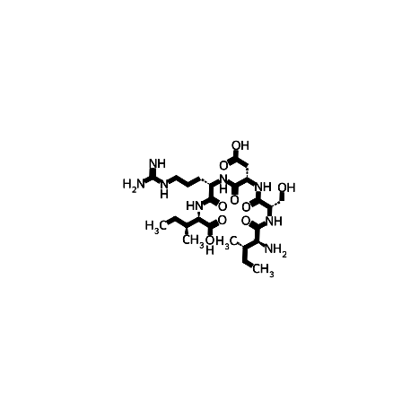 CC[C@H](C)[C@H](N)C(=O)N[C@@H](CO)C(=O)N[C@@H](CC(=O)O)C(=O)N[C@@H](CCCNC(=N)N)C(=O)N[C@H](C(=O)O)[C@@H](C)CC